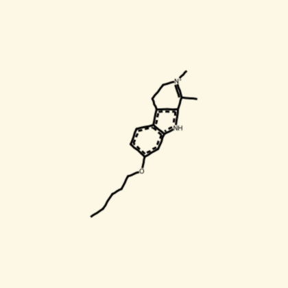 CCCCCOc1ccc2c3c([nH]c2c1)C(C)=[N+](C)CC3